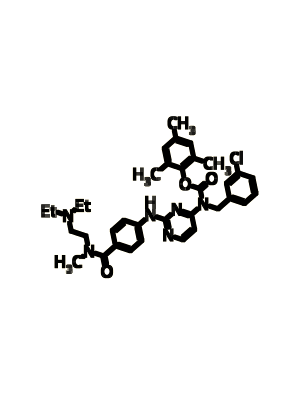 CCN(CC)CCN(C)C(=O)c1ccc(Nc2nccc(N(Cc3cccc(Cl)c3)C(=O)Oc3c(C)cc(C)cc3C)n2)cc1